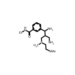 CCNC(=O)c1cccc(C(N)C(CN)CN(C)CCNC)c1